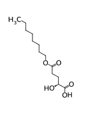 CCCCCCCCOC(=O)CC[C@H](O)C(=O)O